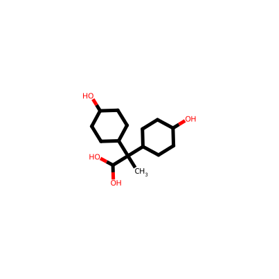 CC(C(O)O)(C1CCC(O)CC1)C1CCC(O)CC1